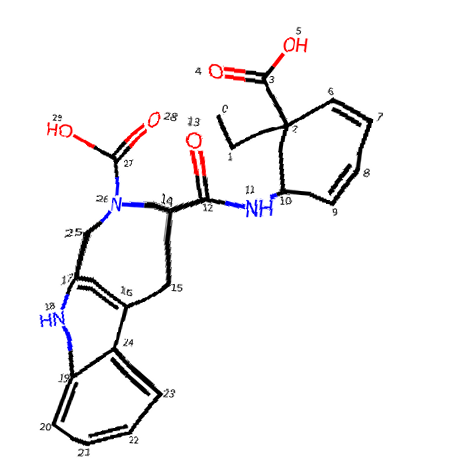 CCC1(C(=O)O)C=CC=CC1NC(=O)C1Cc2c([nH]c3ccccc23)CN1C(=O)O